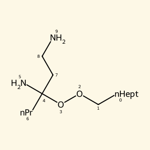 CCCCCCCCOOC(N)(CCC)CCN